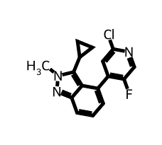 Cn1nc2cccc(-c3cc(Cl)ncc3F)c2c1C1CC1